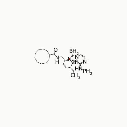 Bc1nc(C(/C=C\C(=C/C)CNC(=O)C2CCCCCCCCC2)=C/C)c2c(NP)nccn12